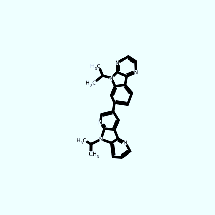 CC(C)n1c2cccnc2c2cc(-c3ccc4c5nccnc5n(C(C)C)c4c3)cnc21